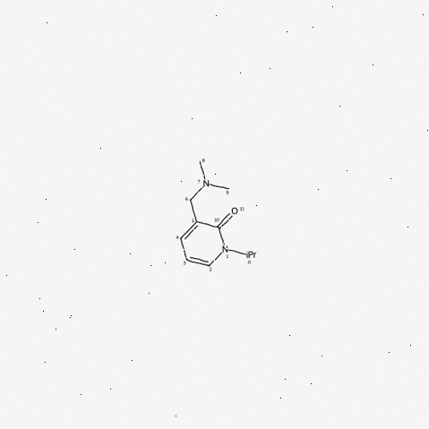 CC(C)n1cccc(CN(C)C)c1=O